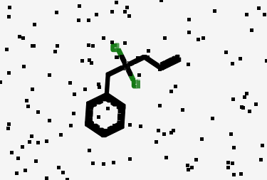 C=CC[Si](Cl)(Cl)Cc1ccccc1